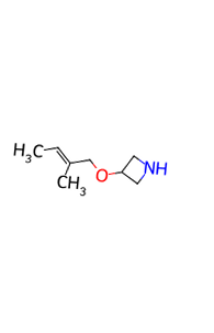 C/C=C(\C)COC1CNC1